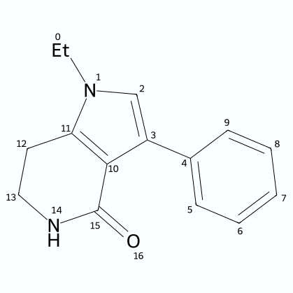 CCn1cc(-c2ccccc2)c2c1CCNC2=O